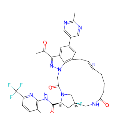 CC(=O)c1nn2c3c(cc(-c4cnc(C)nc4)cc13)C/C=C/CCCC(=O)NC[C@]1(F)C[C@@H](C(=O)Nc3nc(C(F)(F)F)ccc3C)N(C1)C(=O)C2